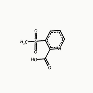 CS(=O)(=O)c1cccnc1C(=O)O